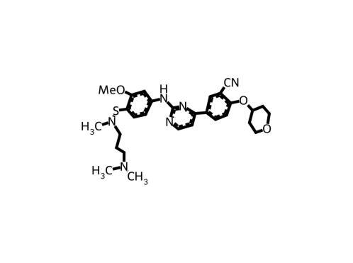 COc1cc(Nc2nccc(-c3ccc(OC4CCOCC4)c(C#N)c3)n2)ccc1SN(C)CCCN(C)C